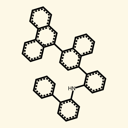 c1ccc(-c2ccccc2Nc2ccccc2-c2ccc(-c3cc4ccccc4c4ccccc34)c3ccccc23)cc1